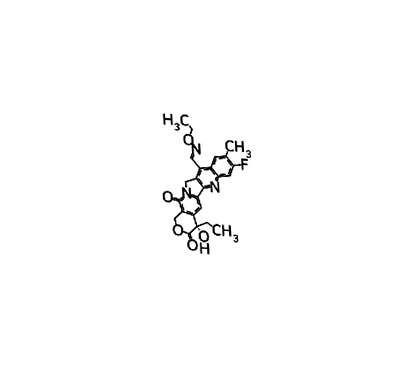 CCO/N=C/c1c2c(nc3cc(F)c(C)cc13)-c1cc3c(c(=O)n1C2)COC(=O)[C@]3(O)CC